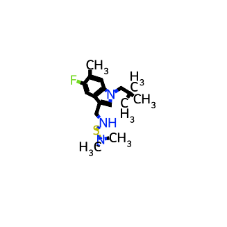 Cc1cc2c(cc1F)c(CNSN(C)C)cn2CC(C)(C)C